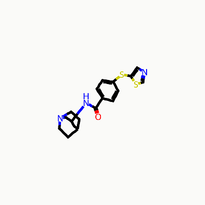 O=C(NC1CC2CCN(CC2)C1)c1ccc(Sc2cncs2)cc1